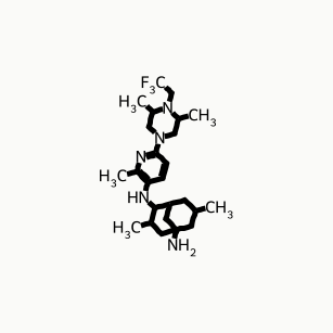 Cc1nc(N2CC(C)N(CC(F)(F)F)C(C)C2)ccc1NC1C(C)CC2(N)CC(C)CC1C2